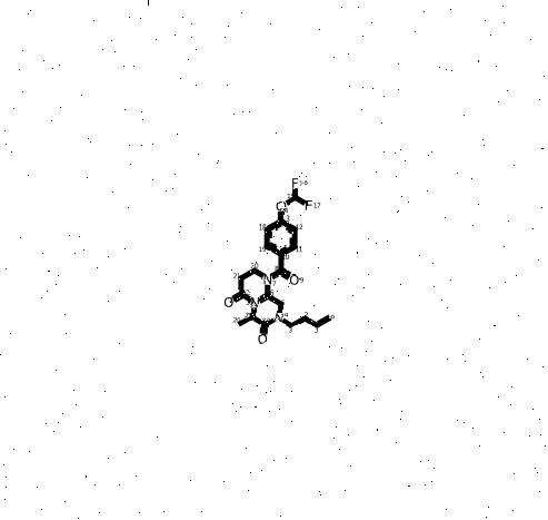 C=CCCN1CC2N(C(=O)c3ccc(OC(F)F)cc3)CCC(=O)N2C(C)C1=O